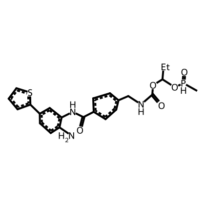 CCC(OC(=O)NCc1ccc(C(=O)Nc2cc(-c3cccs3)ccc2N)cc1)O[PH](C)=O